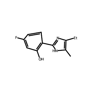 CCc1nc(-c2ccc(F)cc2O)[nH]c1C